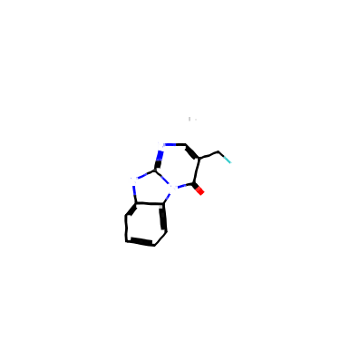 CC[C@H](C)c1nc2[nH]c3ccccc3n2c(=O)c1CF